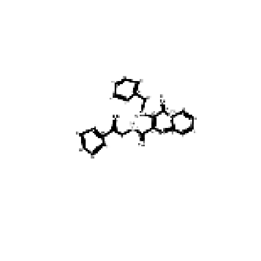 O=C(CNC(=O)c1nc2ccccn2c(=O)c1OCc1ccccc1)c1ccccc1